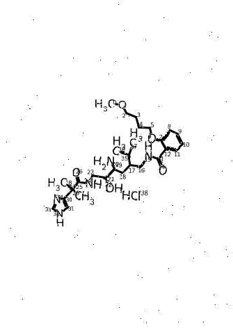 COCCCCOc1ccccc1C(=O)NCC(CC(N)C(O)CNC(=O)C(C)(C)c1c[nH]cn1)C(C)C.Cl